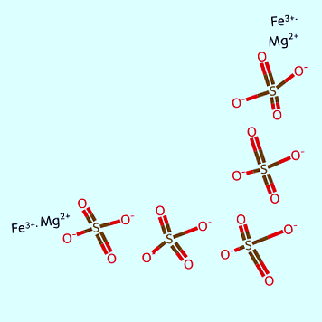 O=S(=O)([O-])[O-].O=S(=O)([O-])[O-].O=S(=O)([O-])[O-].O=S(=O)([O-])[O-].O=S(=O)([O-])[O-].[Fe+3].[Fe+3].[Mg+2].[Mg+2]